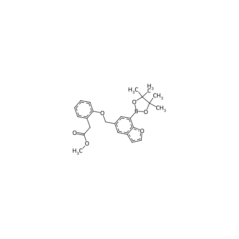 COC(=O)Cc1ccccc1OCc1cc(B2OC(C)(C)C(C)(C)O2)c2occc2c1